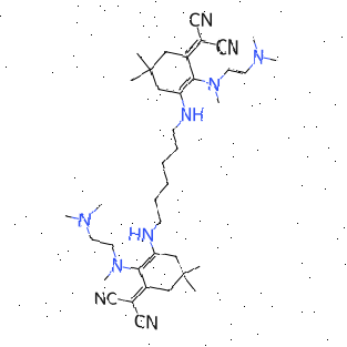 CN(C)CCN(C)C1=C(NCCCCCCNC2=C(N(C)CCN(C)C)C(=C(C#N)C#N)CC(C)(C)C2)CC(C)(C)CC1=C(C#N)C#N